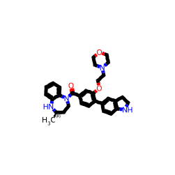 C[C@@H]1CCN(C(=O)c2ccc(-c3ccc4c(c3)CCN4)c(OCCN3CCOCC3)c2)c2ccccc2N1